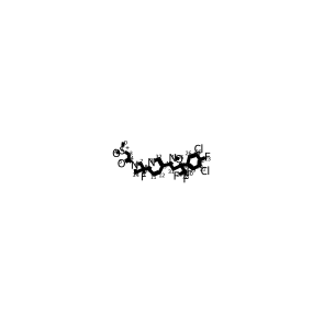 C[S+]([O-])CC(=O)N1CC(F)(c2ccc(C3=NOC(c4cc(Cl)c(F)c(Cl)c4)(C(F)(F)F)C3)cn2)C1